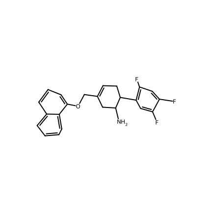 NC1CC(COc2cccc3ccccc23)=CCC1c1cc(F)c(F)cc1F